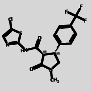 CN1C[C@@H](c2ccc(C(F)(F)F)cc2)[C@H](C(=O)Nc2ncc(Cl)s2)C1=O